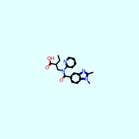 CCC(CN(C(=O)c1ccc2c(c1)nc(C)n2C)c1ccccn1)C(=O)O